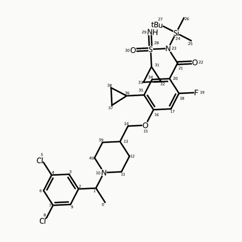 CC(c1cc(Cl)cc(Cl)c1)N1CCC(COc2cc(F)c(C(=O)N([Si](C)(C)C(C)(C)C)S(=N)(=O)C3CC3)cc2C2CC2)CC1